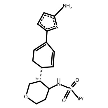 CC(C)S(=O)(=O)NC1CCOC[C@@H]1C1C=CC(c2ccc(N)s2)=CC1